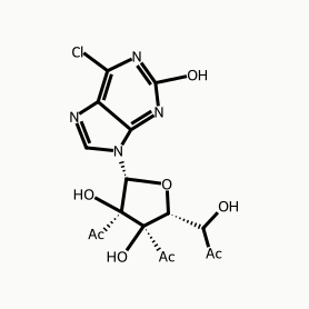 CC(=O)C(O)[C@H]1O[C@@H](n2cnc3c(Cl)nc(O)nc32)[C@@](O)(C(C)=O)[C@@]1(O)C(C)=O